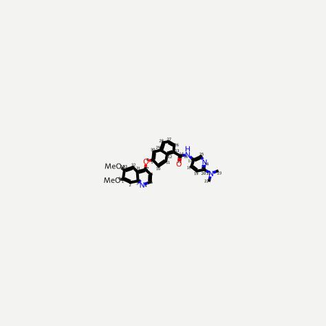 COc1cc2nccc(Oc3ccc4c(C(=O)Nc5ccc(N(C)C)nc5)cccc4c3)c2cc1OC